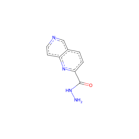 NNC(=O)c1ccc2cnccc2n1